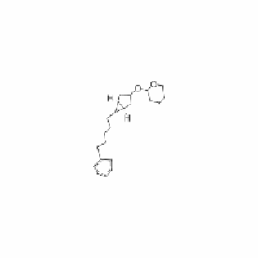 c1ccc(CCCCCC2[C@H]3CC(OC4CCCCO4)C[C@@H]23)cc1